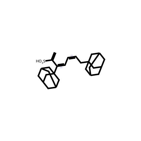 C=C(/C(=C\C=C/CC12CC3CC(CC(C3)C1)C2)C12CC3CC(CC(C3)C1)C2)S(=O)(=O)O